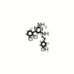 Nc1nc(NCCc2ccc(O)cc2)cc(-c2cccc(Cl)c2Cl)n1